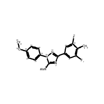 CNc1nc(-c2cc(F)c(C)c(F)c2)nn1-c1ccc(OC(F)(F)F)cc1